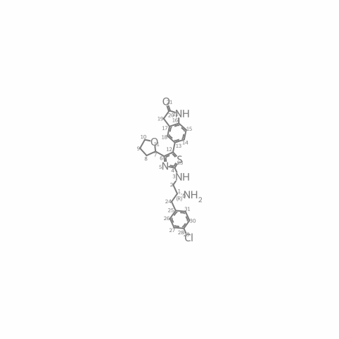 N[C@@H](CNc1nc(C2CCCO2)c(-c2ccc3c(c2)CC(=O)N3)s1)Cc1ccc(Cl)cc1